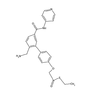 CCSC(=O)COc1ccc(-c2cc(C(=O)Nc3ccncc3)ccc2CN)cc1